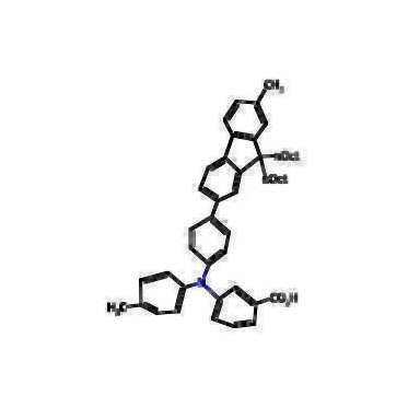 CCCCCCCCC1(CCCCCCCC)c2cc(C)ccc2-c2ccc(-c3ccc(N(c4ccc(C)cc4)c4cccc(C(=O)O)c4)cc3)cc21